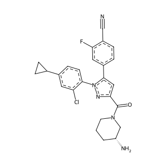 N#Cc1ccc(-c2cc(C(=O)N3CCC[C@@H](N)C3)nn2-c2ccc(C3CC3)cc2Cl)cc1F